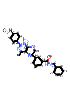 CC(=NNc1ccc([N+](=O)[O-])cc1)c1nc(-c2cccc(C(=O)NCc3ccccc3)c2)cnc1N